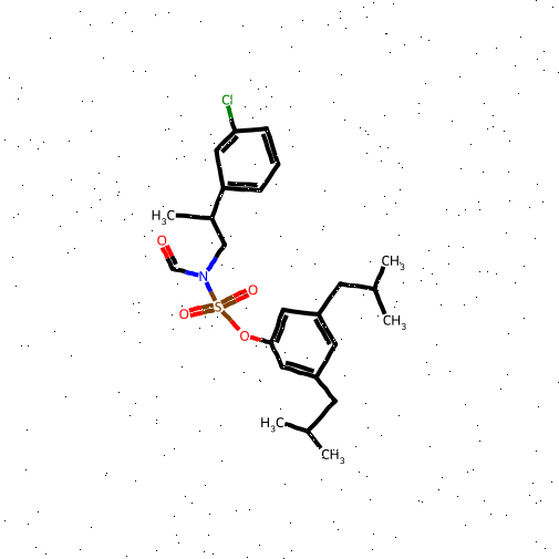 CC(C)Cc1cc(CC(C)C)cc(OS(=O)(=O)N(C=O)CC(C)c2cccc(Cl)c2)c1